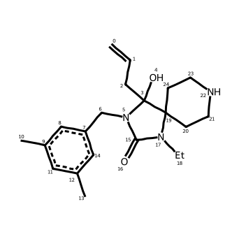 C=CCC1(O)N(Cc2cc(C)cc(C)c2)C(=O)N(CC)C12CCNCC2